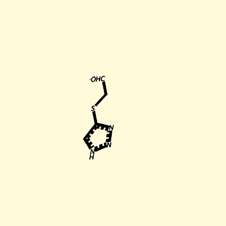 O=[C]CSc1c[nH]nn1